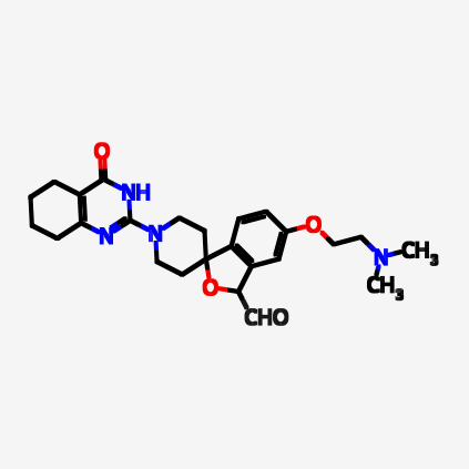 CN(C)CCOc1ccc2c(c1)C(C=O)OC21CCN(c2nc3c(c(=O)[nH]2)CCCC3)CC1